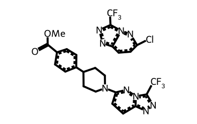 COC(=O)c1ccc(C2CCN(c3ccc4nnc(C(F)(F)F)n4n3)CC2)cc1.FC(F)(F)c1nnc2ccc(Cl)nn12